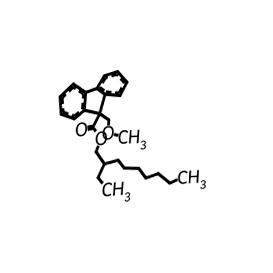 CCCCCCCC(CC)COC(=O)C1(COC)c2ccccc2-c2ccccc21